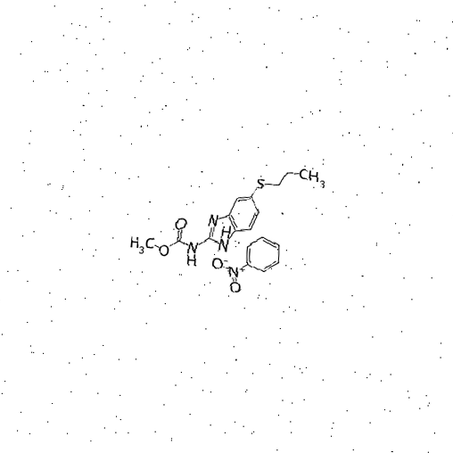 CCCSc1ccc2[nH]c(NC(=O)OC)nc2c1.O=[N+]([O-])c1ccccc1